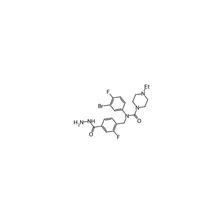 CCN1CCN(C(=O)N(Cc2ccc(C(=O)NN)cc2F)c2ccc(F)c(Br)c2)CC1